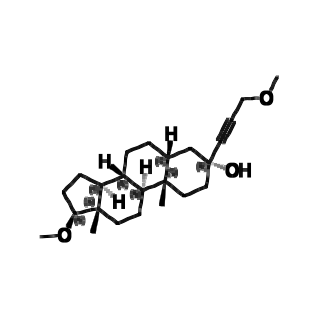 COCC#C[C@@]1(O)CC[C@@]2(C)[C@H](CC[C@@H]3[C@@H]2CC[C@]2(C)[C@@H](OC)CC[C@@H]32)C1